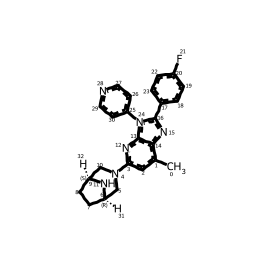 Cc1cc(N2C[C@H]3CC[C@@H](C2)N3)nc2c1nc(-c1ccc(F)cc1)n2-c1ccncc1